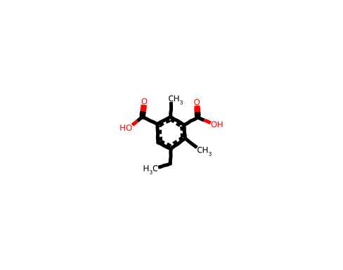 CCc1cc(C(=O)O)c(C)c(C(=O)O)c1C